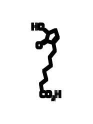 O=C(O)CCCCCCC1=CCC(O)C1=O